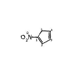 O=[N+]([O-])C1=CC=CC1